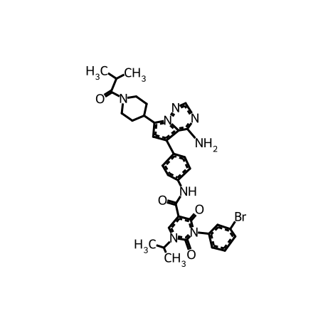 CC(C)C(=O)N1CCC(c2cc(-c3ccc(NC(=O)c4cn(C(C)C)c(=O)n(-c5cccc(Br)c5)c4=O)cc3)c3c(N)ncnn23)CC1